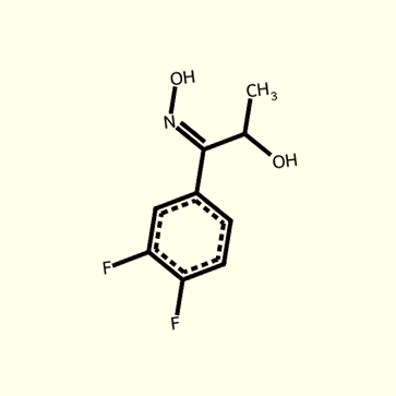 CC(O)/C(=N\O)c1ccc(F)c(F)c1